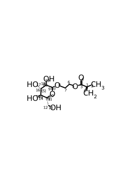 C=C(C)C(=O)OCCO[C@H]1O[C@H](CO)[C@@H](O)[C@H](O)[C@H]1O